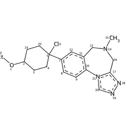 CCOC1CCC(Cl)(c2ccc3c(c2)CN(C)Cc2nncn2-3)CC1